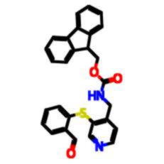 O=Cc1ccccc1Sc1cnccc1CNC(=O)OCC1c2ccccc2-c2ccccc21